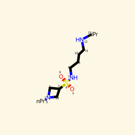 CCCN1CC(S(=O)(=O)NCCCCNC(C)C)C1